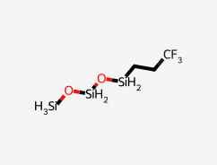 FC(F)(F)CC[SiH2]O[SiH2]O[SiH3]